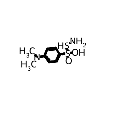 CN(C)c1ccc(S(=O)(O)=[SH]N)cc1